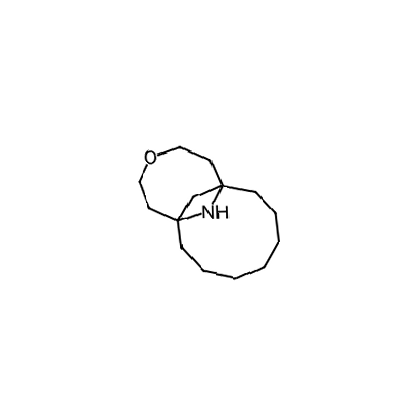 C1CCCC23CCOCCC(CCC1)(C2)N3